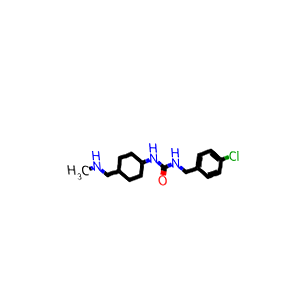 CNCC1CCC(NC(=O)NCc2ccc(Cl)cc2)CC1